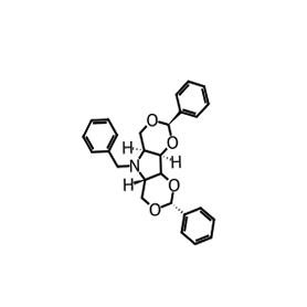 c1ccc(CN2[C@H]3CO[C@@H](c4ccccc4)OC3[C@@H]3O[C@H](c4ccccc4)OC[C@@H]32)cc1